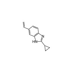 C=Cc1ccc2nc(C3CC3)[nH]c2c1